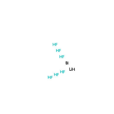 F.F.F.F.F.F.[B].[LiH]